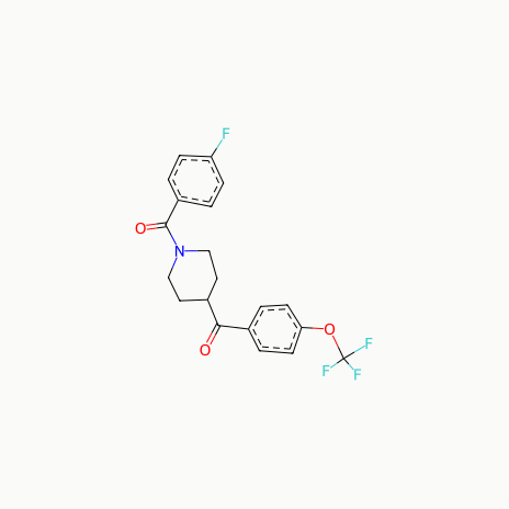 O=C(c1ccc(OC(F)(F)F)cc1)C1CCN(C(=O)c2ccc(F)cc2)CC1